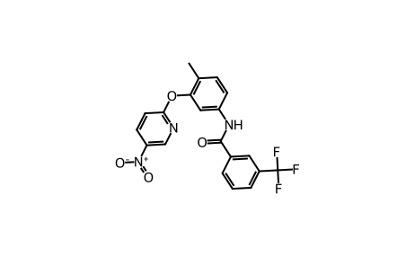 Cc1ccc(NC(=O)c2cccc(C(F)(F)F)c2)cc1Oc1ccc([N+](=O)[O-])cn1